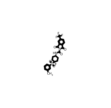 Cc1cccc(S(=O)(=O)[C@]2(F)CC[C@H](NC(=O)N3C(=O)c4ccc(C(F)(F)F)cc4C3=O)CC2)c1